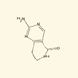 Nc1ncc2c(n1)CCNC2=O